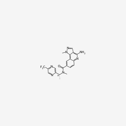 C[C@H](c1cnc(C(F)(F)F)cn1)N(C)C(=O)c1ccc2nc(N)c3cnn(C)c3c2c1